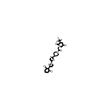 O=C(Cn1cc(Cl)cc(C(F)(F)F)c1=O)N1CCC(c2nc(-n3ccc(-c4c(Cl)cccc4Cl)n3)cs2)CC1